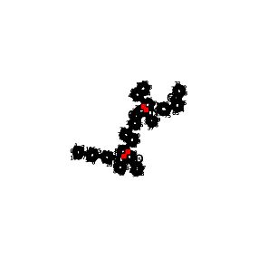 c1ccc(-c2ccc(-c3ccc(N(c4ccc(-c5cccc6c(-c7ccc8c(c7)oc7cccc(-c9ccccc9N(c9ccc(-c%10cccc%11ccccc%10%11)cc9)c9ccc(-c%10cccc%11c%10oc%10ccccc%10%11)cc9)c78)cccc56)cc4)c4ccccc4-c4cccc5oc6ccccc6c45)cc3)cc2)cc1